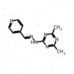 Cc1nc(C)nc(N/N=C/c2ccncc2)n1